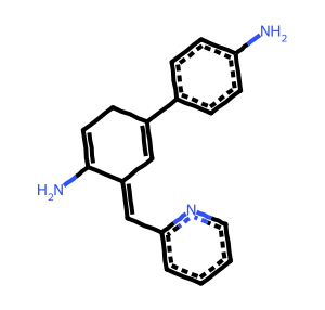 NC1=CCC(c2ccc(N)cc2)=C/C1=C\c1ccccn1